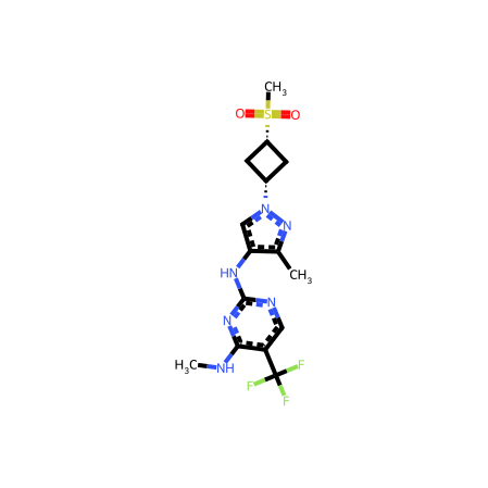 CNc1nc(Nc2cn([C@H]3C[C@@H](S(C)(=O)=O)C3)nc2C)ncc1C(F)(F)F